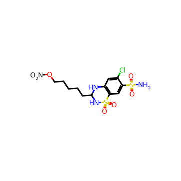 NS(=O)(=O)c1cc2c(cc1Cl)NC(CCCCCO[N+](=O)[O-])NS2(=O)=O